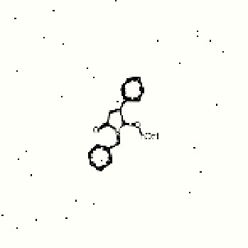 CCCCCCCCOC1C(c2ccccc2)CC(=O)N1Cc1ccccc1